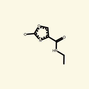 CCNC(=O)c1coc([O])n1